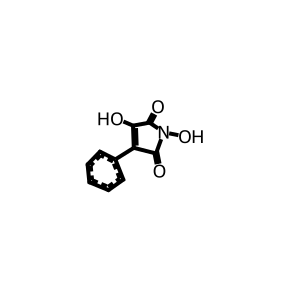 O=C1C(O)=C(c2ccccc2)C(=O)N1O